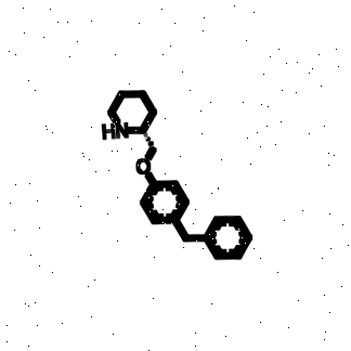 c1ccc(Cc2ccc(OC[C@H]3CCCCN3)cc2)cc1